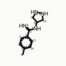 Cc1ccc(C(=N)NC2CNNC2)cc1